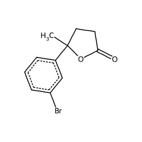 CC1(c2cccc(Br)c2)CCC(=O)O1